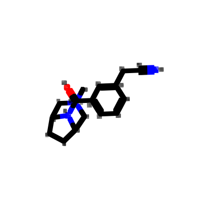 CN1CC2CCC(C1)N2C(=O)c1cccc(CC#N)c1